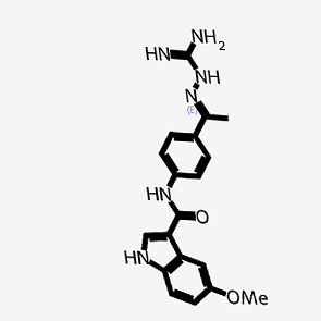 COc1ccc2[nH]cc(C(=O)Nc3ccc(/C(C)=N/NC(=N)N)cc3)c2c1